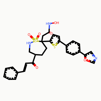 O=C(CC1(c2ccc(-c3ccc(-c4cnco4)cc3)s2)CCC(C(=O)C=Cc2ccccc2)CNS1(=O)=O)NO